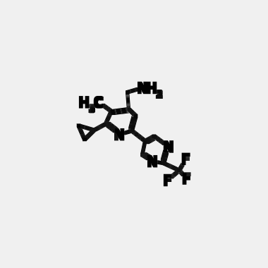 Cc1c(CN)cc(-c2cnc(C(F)(F)F)nc2)nc1C1CC1